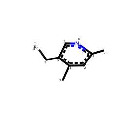 Cc1cc(C)c(CC(C)C)cn1